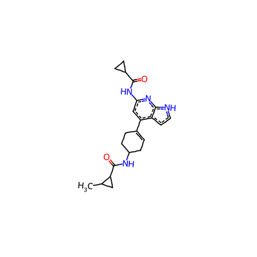 CC1CC1C(=O)NC1CC=C(c2cc(NC(=O)C3CC3)nc3[nH]ccc23)CC1